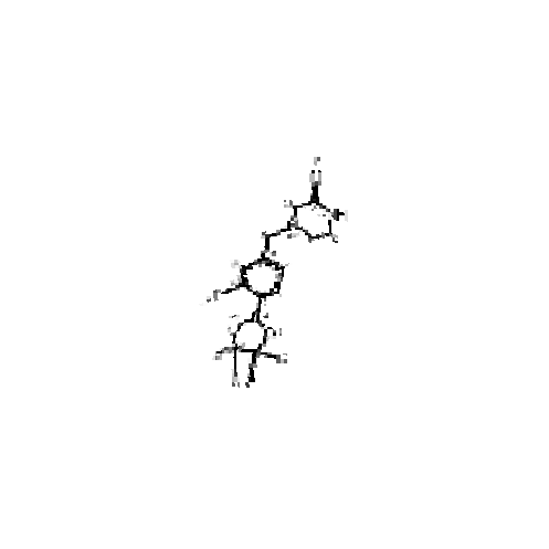 CC1(C)OB(c2ccc(CN3CCNC(=O)C3)cc2F)OC1(C)C